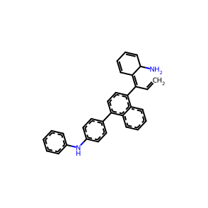 C=C/C(=C1/C=CC=CC1N)c1ccc(-c2ccc(Nc3ccccc3)cc2)c2ccccc12